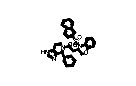 O=C(CC1COc2ccccc2N1S(=O)(=O)c1ccc2ccccc2c1)N1CCc2[nH]cnc2C1c1ccccc1